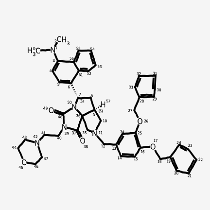 CN(C)c1ccc([C@@H]2C[C@H]3CN(Cc4ccc(OCc5ccccc5)c(OCc5ccccc5)c4)CC34C(=O)N(CCN3CCOCC3)C(=O)N24)c2ccccc12